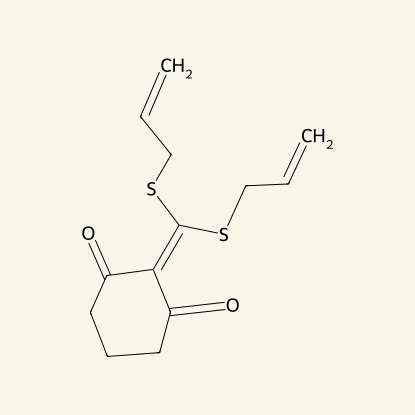 C=CCSC(SCC=C)=C1C(=O)CCCC1=O